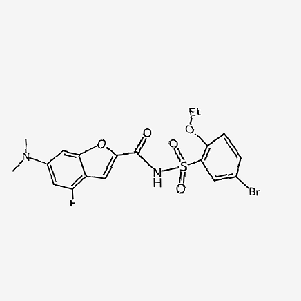 CCOc1ccc(Br)cc1S(=O)(=O)NC(=O)c1cc2c(F)cc(N(C)C)cc2o1